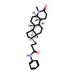 CN1C(=O)CC[C@]2(C)[C@H]3CC[C@]4(C)[C@@H](CCC(=O)Nc5ccccc5)CC[C@H]4[C@@H]3CC[C@@H]12